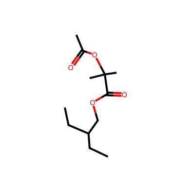 CCC(CC)COC(=O)C(C)(C)OC(C)=O